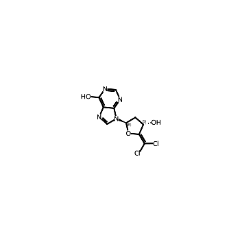 Oc1ncnc2c1ncn2[C@H]1C[C@H](O)C(=C(Cl)Cl)O1